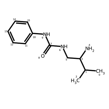 CC(C)C(N)CNC(=O)Nc1ccccc1